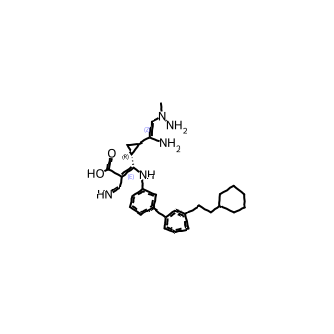 CN(N)/C=C(\N)C1C[C@H]1/C(Nc1cccc(-c2cccc(CCC3CCCCC3)c2)c1)=C(/C=N)C(=O)O